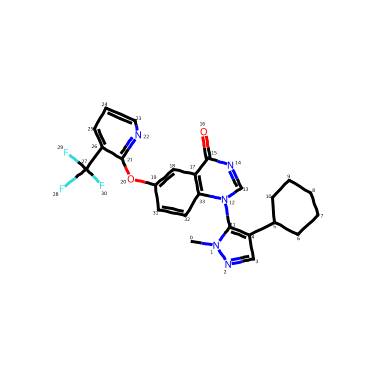 Cn1ncc(C2CCCCC2)c1-n1cnc(=O)c2cc(Oc3ncccc3C(F)(F)F)ccc21